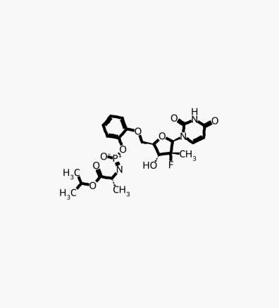 CC(C)OC(=O)[C@@H](C)/N=[P+](\[O-])Oc1ccccc1OC[C@H]1O[C@@H](n2ccc(=O)[nH]c2=O)[C@](C)(F)[C@@H]1O